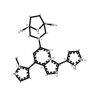 Cn1nccc1-c1cc(N2C[C@H]3CC[C@@H](C2)O3)nn2c(-c3ccn[nH]3)ncc12